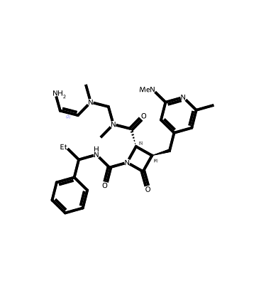 CCC(NC(=O)N1C(=O)[C@H](Cc2cc(C)nc(NC)c2)[C@H]1C(=O)N(C)CN(C)/C=C\N)c1ccccc1